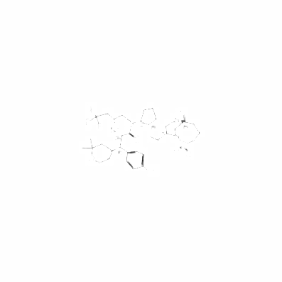 CC1(C)CC([C@H](c2ccc(Cl)cc2)[C@H](N)C(=O)N(CCCC(F)(F)F)[C@H]2CCC[C@@H]2CC[C@H]2CN[C@@H]3CCCS(=O)(=O)N2C3)CCO1